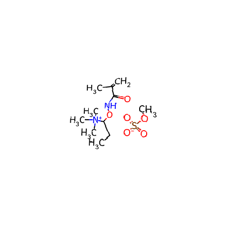 C=C(C)C(=O)NOC(CC)[N+](C)(C)C.COS(=O)(=O)[O-]